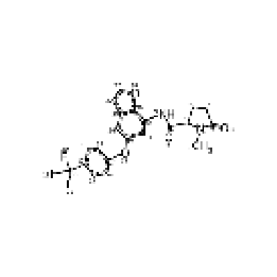 CN1C(=O)CCC1C(=O)Nc1cc(Oc2ccc(C(F)(F)F)cc2)cc2ccoc12